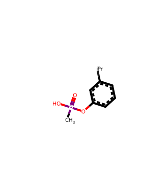 CC(C)c1cccc(OP(C)(=O)O)c1